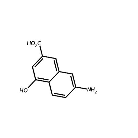 Nc1ccc2c(O)cc(C(=O)O)cc2c1